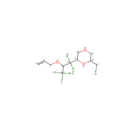 C=CCOC(C(F)(F)F)C(F)(F)C1COCC(CF)O1